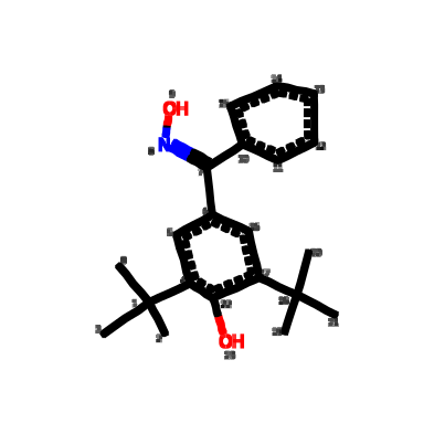 CC(C)(C)c1cc(C(=NO)c2ccccc2)cc(C(C)(C)C)c1O